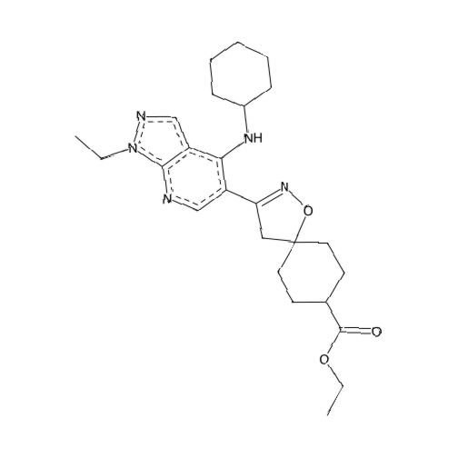 CCOC(=O)C1CCC2(CC1)CC(c1cnc3c(cnn3CC)c1NC1CCCCC1)=NO2